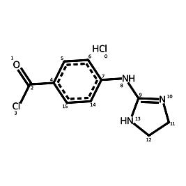 Cl.O=C(Cl)c1ccc(NC2=NCCN2)cc1